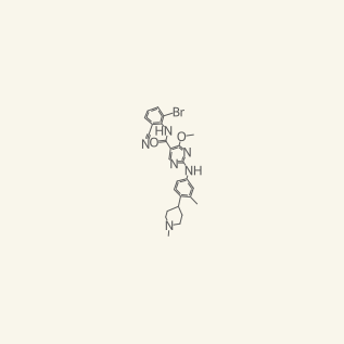 COc1nc(Nc2ccc(C3CCN(C)CC3)c(C)c2)ncc1C(=O)Nc1c(Br)cccc1C#N